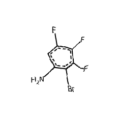 Nc1cc(F)c(F)c(F)c1Br